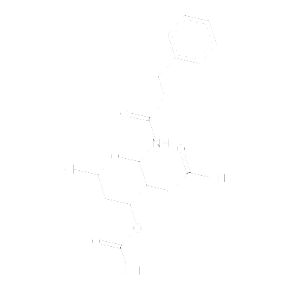 CC(=O)OC1CC(Cl)OC(NC(=O)OCc2ccccc2)C1OC(C)=O